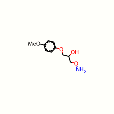 COc1ccc(OCC(O)CON)cc1